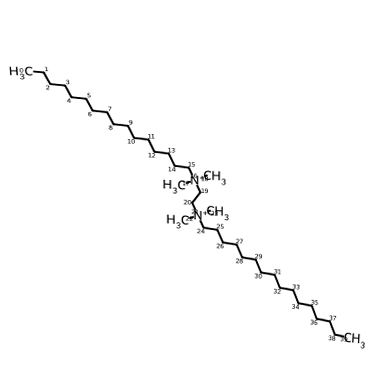 CCCCCCCCCCCCCCCC[N+](C)(C)CC[N+](C)(C)CCCCCCCCCCCCCCCC